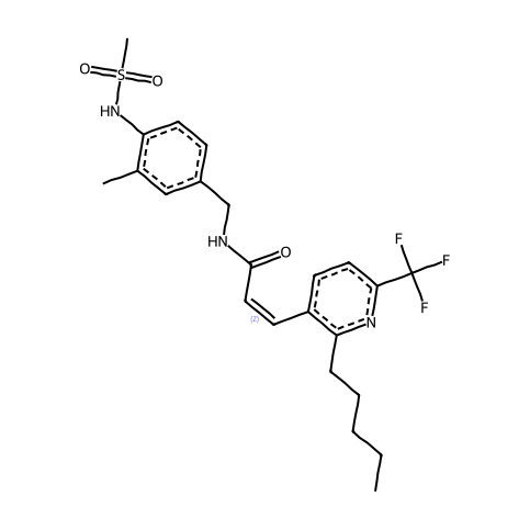 CCCCCc1nc(C(F)(F)F)ccc1/C=C\C(=O)NCc1ccc(NS(C)(=O)=O)c(C)c1